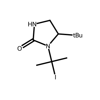 CC(C)(C)C1CNC(=O)N1C(C)(C)I